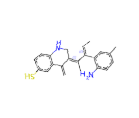 C=C1/C(=C(C)/C(=C/C)c2cc(C)ccc2N)CNc2ccc(S)cc21